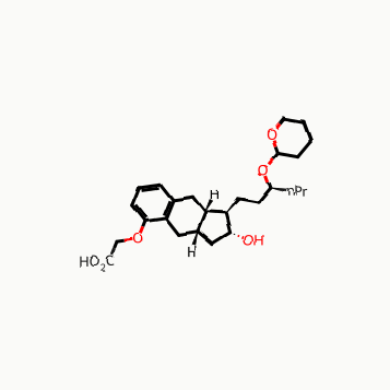 CCC[C@@H](CC[C@@H]1[C@H]2Cc3cccc(OCC(=O)O)c3C[C@H]2C[C@H]1O)OC1CCCCO1